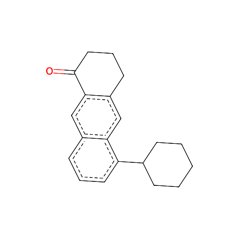 O=C1CCCc2cc3c(C4CCCCC4)cccc3cc21